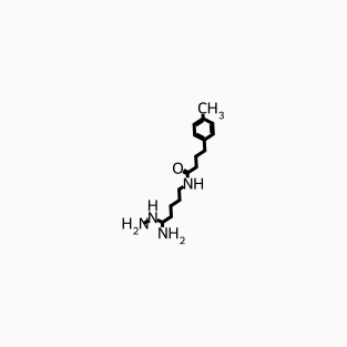 Cc1ccc(CCCC(=O)NCCCCC(N)NN)cc1